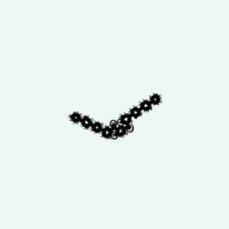 O=c1c2cc(-c3ccc(-c4ccc(-c5ccccc5)cc4)cc3)ccc2oc2c1ccc1oc3ccc(-c4ccc(-c5ccc(-c6ccccc6)cc5)cc4)cc3c(=O)c12